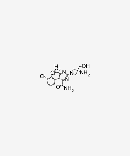 Cc1nc(N2CC(N)(CO)C2)nc(C(N)=O)c1-c1cccc(Cl)c1Cl